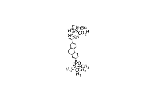 CC1(C)OB(c2ccc3c(c2)CCc2cc(-c4cnc([C@@H]5[C@H]6CC[C@](C(C)(C)C)(C6)N5C(=O)O)[nH]4)ccc2-3)OC1(C)C